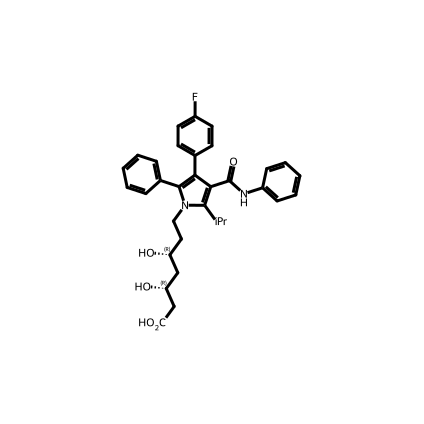 CC(C)c1c(C(=O)Nc2ccccc2)c(-c2ccc(F)cc2)c(-c2ccccc2)n1CC[C@@H](O)C[C@@H](O)CC(=O)O